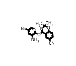 CC1(C)N=C(Oc2ncc(Br)cc2N)c2cc(C#N)ccc2O1